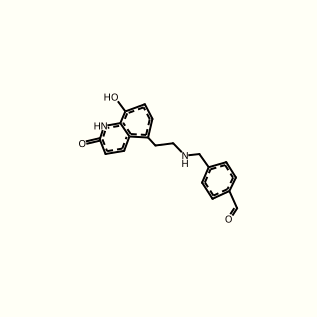 O=Cc1ccc(CNCCc2ccc(O)c3[nH]c(=O)ccc23)cc1